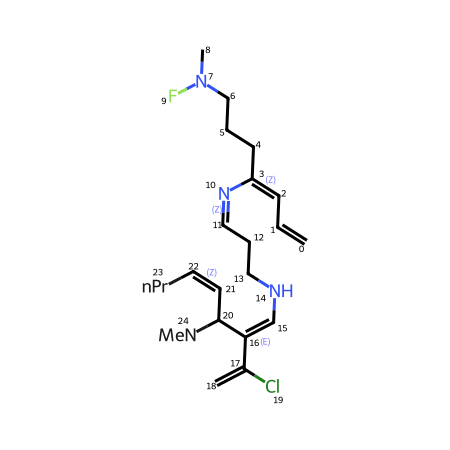 C=C/C=C(CCCN(C)F)\N=C/CCN/C=C(/C(=C)Cl)C(/C=C\CCC)NC